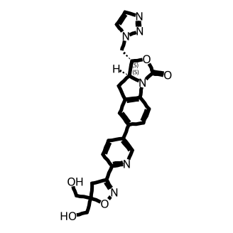 O=C1O[C@@H](Cn2ccnn2)[C@@H]2Cc3cc(-c4ccc(C5=NOC(CO)(CO)C5)nc4)ccc3N12